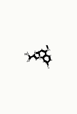 COc1cc2nc(C(=O)O)cn2c2cc(F)ccc12